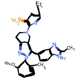 CCc1cnc(N2CCc3nn(-c4c(C)cccc4OCC(C)C)c(-c4ccc5[nH]c(C)nc5c4)c3C2)c(P)c1